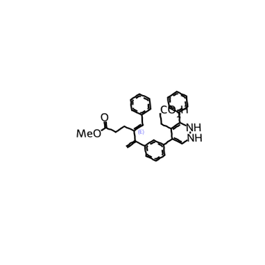 C=C(/C(=C/c1ccccc1)CCC(=O)OC)c1cccc(C2=CNNC(c3ccccc3)=C2CCC(=O)O)c1